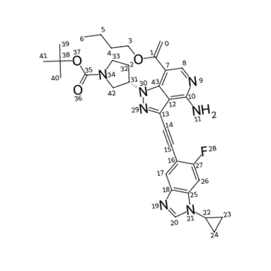 C=C(OCCCC)c1cnc(N)c2c(C#Cc3cc4ncn(C5CC5)c4cc3F)nn([C@H]3CCN(C(=O)OC(C)(C)C)C3)c12